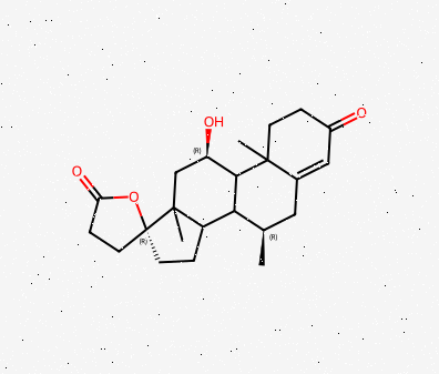 C[C@@H]1CC2=CC(=O)CCC2(C)C2C1C1CC[C@@]3(CCC(=O)O3)C1(C)C[C@H]2O